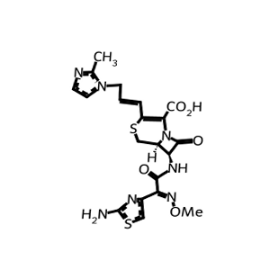 CON=C(C(=O)N[C@@H]1C(=O)N2C(C(=O)O)=C(/C=C/Cn3ccnc3C)SC[C@H]12)c1csc(N)n1